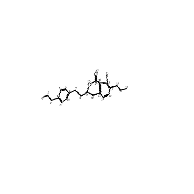 CCCc1ccc(CCC2Cc3ccc(CCC)c(F)c3C(=O)O2)cc1